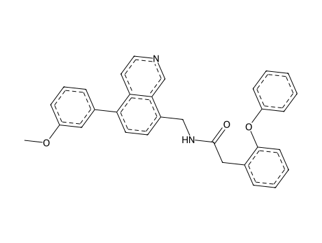 COc1cccc(-c2ccc(CNC(=O)Cc3ccccc3Oc3ccccc3)c3cnccc23)c1